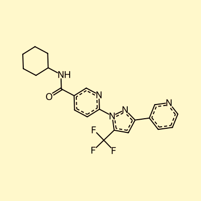 O=C(NC1CCCCC1)c1ccc(-n2nc(-c3cccnc3)cc2C(F)(F)F)nc1